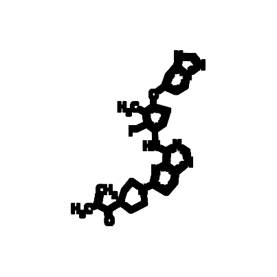 C=C(C)C(=O)N1CCN(c2ccc3ncnc(Nc4ccc(Oc5ccn6ncnc6c5)c(C)c4F)c3n2)CC1